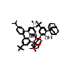 COc1cc(-c2cc(C(C)C)ccc2-c2cc(C(C)(C)C)cc(C34CC5CC(CC(C5)C3)C4)c2O)nc(-c2cc(C(C)C)ccc2-c2cc(C(C)(C)C)cc(C34CC5CC(CC(C5)C3)C4)c2O)c1